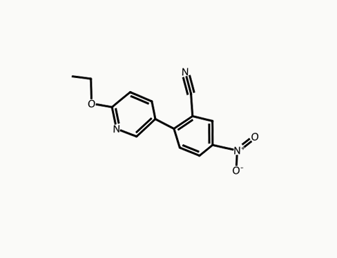 CCOc1ccc(-c2ccc([N+](=O)[O-])cc2C#N)cn1